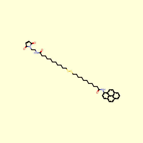 O=C(CCCCCCCCCCSSCCCCCCCCCCC(=O)Nc1ccc2ccc3cccc4ccc1c2c34)NCCN1C(=O)C=CC1=O